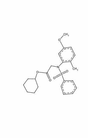 COc1ccc(C)c(N(CC(=O)OC2CCCCC2)S(=O)(=O)c2ccccc2)c1